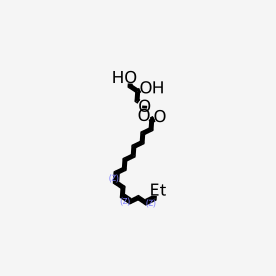 CC/C=C\C/C=C\C/C=C\CCCCCCCC(=O)OOCC(O)CO